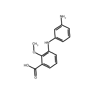 COc1c(Nc2cccc(N)c2)cccc1C(=O)O